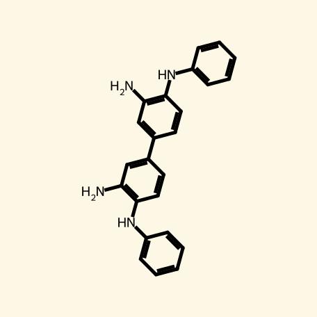 Nc1cc(-c2ccc(Nc3ccccc3)c(N)c2)ccc1Nc1ccccc1